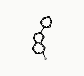 CCc1ccc2ccc(-c3ccccc3)cc2c1